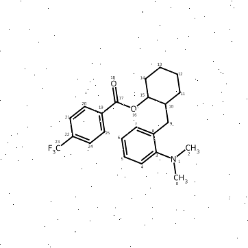 CN(C)c1ccccc1CC1CCCCC1OC(=O)c1ccc(C(F)(F)F)cc1